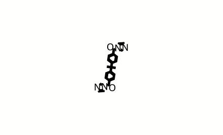 CC(C)(c1ccc(C(=O)n2ccnc2)cc1)c1ccc(C(=O)n2ccnc2)cc1